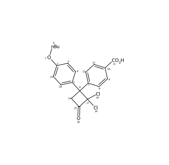 CCCCOc1ccc(C2(c3ccc(C(=O)O)cc3)CC(=O)C2(Cl)Cl)cc1